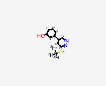 [2H]C([2H])([2H])Sc1cc(-c2cccc(O)c2)cnn1